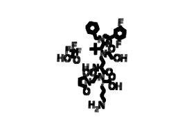 CC(C)(C)[C@H](c1nc(-c2cc(F)ccc2F)cn1Cc1ccccc1)N(CC[C@H](N)C(=O)N(C(=O)CN1C(=O)C=CC1=O)[C@@H](CCCCN)C(=O)O)C(=O)CO.O=C(O)C(F)(F)F